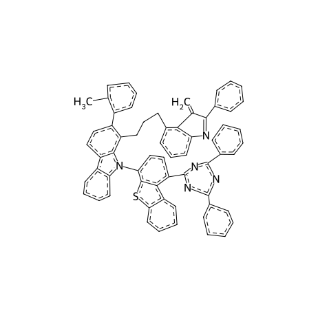 C=C1C(c2ccccc2)=Nc2cccc(CCCc3c(-c4ccccc4C)ccc4c5ccccc5n(-c5ccc(-c6nc(-c7ccccc7)nc(-c7ccccc7)n6)c6c5sc5ccccc56)c34)c21